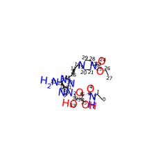 CCNC(=O)[C@H]1O[C@@H](n2cnc3c(N)nc(C#CCN4CCN(C(=O)OCC)CC4)nc32)[C@@H](O)C1O